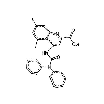 Cc1cc(I)cc2nc(C(=O)O)cc(NC(=O)N(c3ccccc3)c3ccccc3)c12